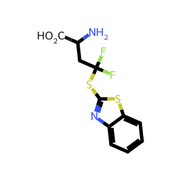 NC(CC(F)(F)Sc1nc2ccccc2s1)C(=O)O